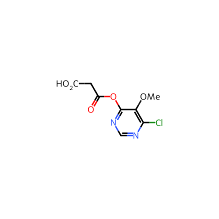 COc1c(Cl)ncnc1OC(=O)CC(=O)O